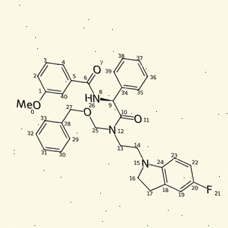 COc1cccc(C(=O)N[C@H](C(=O)N(CCN2CCc3cc(F)ccc32)COCc2ccccc2)c2ccccc2)c1